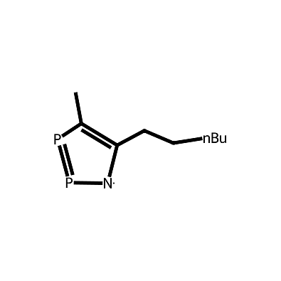 CCCCCCC1=C(C)P=P[N]1